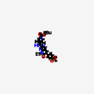 CCn1c(=O)c(-c2ccc(S(C)(=O)=O)cc2)cc2cnc(NC3[C@H]4CN(C(=O)OC(C)(C)C)C[C@@H]34)nc21